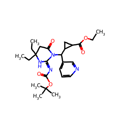 CCOC(=O)C1CC1C(c1cccnc1)N1C(=O)CC(CC)(CC)N/C1=N\C(=O)OC(C)(C)C